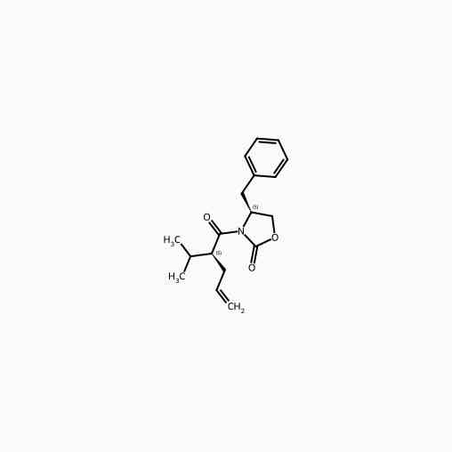 C=CC[C@H](C(=O)N1C(=O)OC[C@@H]1Cc1ccccc1)C(C)C